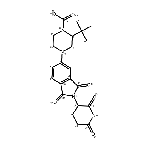 CC(C)(C)C1CN(c2ccc3c(c2)C(=O)N(C2CCC(=O)NC2=O)C3=O)CCN1C(=O)O